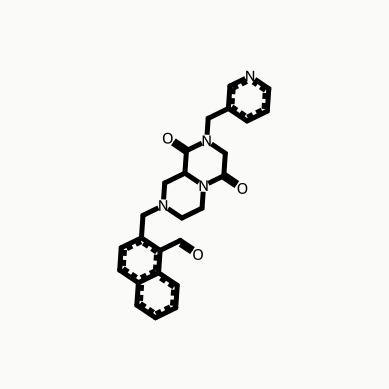 O=Cc1c(CN2CCN3C(=O)CN(Cc4cccnc4)C(=O)C3C2)ccc2ccccc12